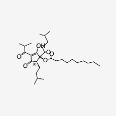 CCCCCCCCCC(=O)O[C@]1(C(=O)CCC(C)C)C(O)=C(C(=O)C(C)C)C(=O)[C@@H]1CCC(C)C